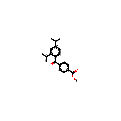 COC(=O)c1ccc(C(=O)c2ccc(C(C)C)cc2C(C)C)cc1